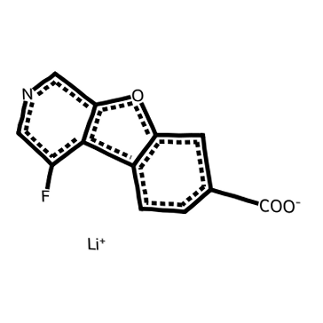 O=C([O-])c1ccc2c(c1)oc1cncc(F)c12.[Li+]